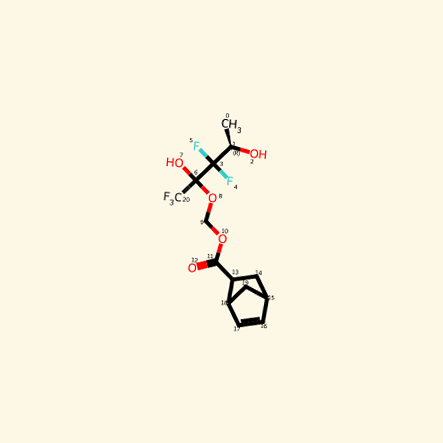 C[C@@H](O)C(F)(F)C(O)(OCOC(=O)C1CC2C=CC1C2)C(F)(F)F